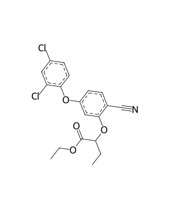 CCOC(=O)C(CC)Oc1cc(Oc2ccc(Cl)cc2Cl)ccc1C#N